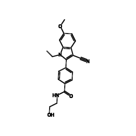 CCn1c(-c2ccc(C(=O)NCCO)cc2)c(C#N)c2ccc(OC)cc21